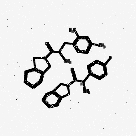 Cc1ccc(CC(N)C(=O)N2Cc3ccccc3C2)c(C)c1.N[C@@H](C(=O)N1Cc2ccccc2C1)c1ccc(F)cc1